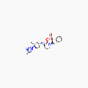 Cc1cn(-c2ccc(/C=C3\CCCN([C@@H]4Cc5ccccc5[C@H]4O)C3=O)cc2C)cn1